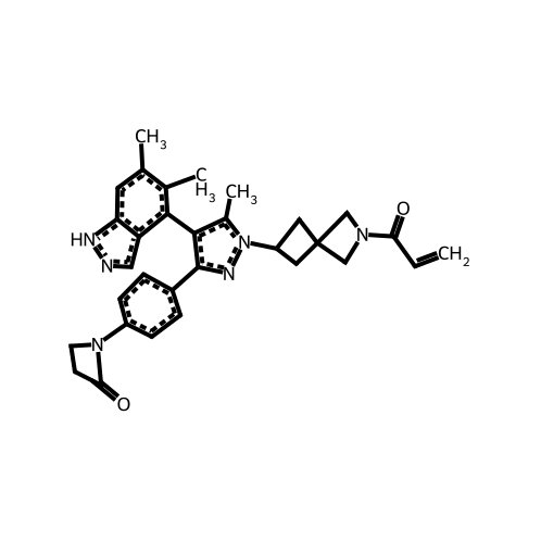 C=CC(=O)N1CC2(CC(n3nc(-c4ccc(N5CCC5=O)cc4)c(-c4c(C)c(C)cc5[nH]ncc45)c3C)C2)C1